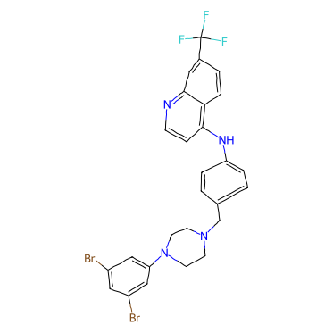 FC(F)(F)c1ccc2c(Nc3ccc(CN4CCN(c5cc(Br)cc(Br)c5)CC4)cc3)ccnc2c1